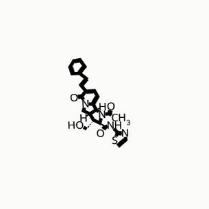 CC(=O)N1[C@@H]2c3ccc(C=Cc4ccccc4)c(=O)n3C[C@@H]2[C@@H](CO)[C@@H]1C(=O)Nc1nccs1